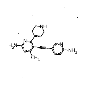 Cc1nc(N)nc(C2=CCNCC2)c1C#Cc1ccc(N)nc1